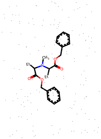 CCC(C(=O)OCc1ccccc1)N(C)C(CC)C(=O)OCc1ccccc1